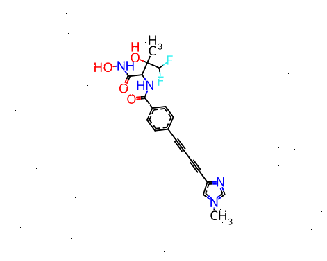 Cn1cnc(C#CC#Cc2ccc(C(=O)NC(C(=O)NO)C(C)(O)C(F)F)cc2)c1